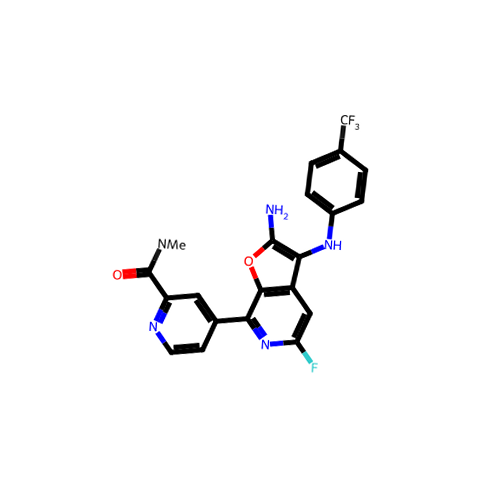 CNC(=O)c1cc(-c2nc(F)cc3c(Nc4ccc(C(F)(F)F)cc4)c(N)oc23)ccn1